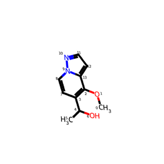 COc1c(C(C)O)ccn2nccc12